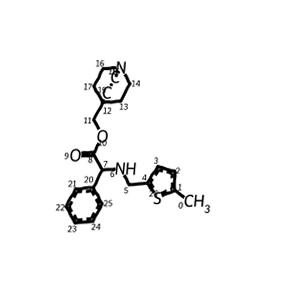 Cc1ccc(CNC(C(=O)OCC23CCN(CC2)CC3)c2ccccc2)s1